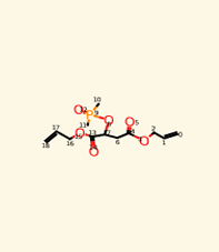 C=CCOC(=O)CC(OP(C)(C)=O)C(=O)OCC=C